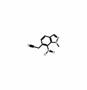 Cn1ncc2ccc(CC#N)c([N+](=O)[O-])c21